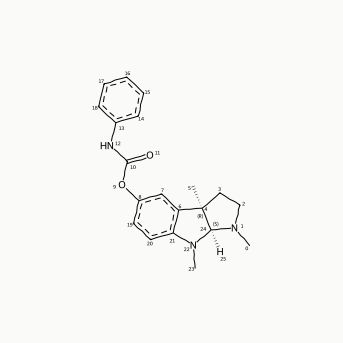 CN1CC[C@]2(C)c3cc(OC(=O)Nc4ccccc4)ccc3N(C)[C@H]12